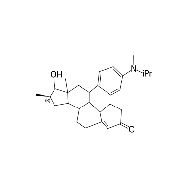 CC(C)N(C)c1ccc(C2CC3(C)C(C[C@@H](C)C3O)C3CCC4=CC(=O)CCC4C23)cc1